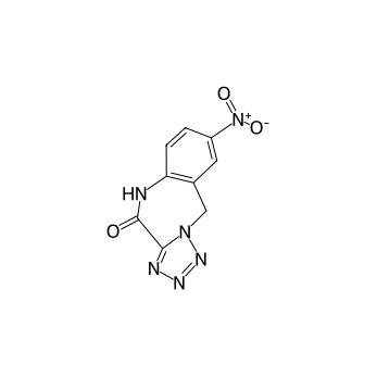 O=C1Nc2ccc([N+](=O)[O-])cc2Cn2nnnc21